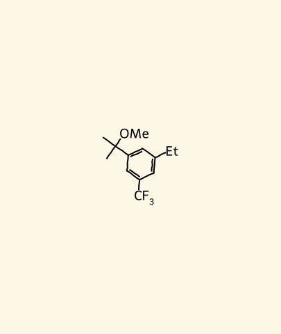 CCc1cc(C(F)(F)F)cc(C(C)(C)OC)c1